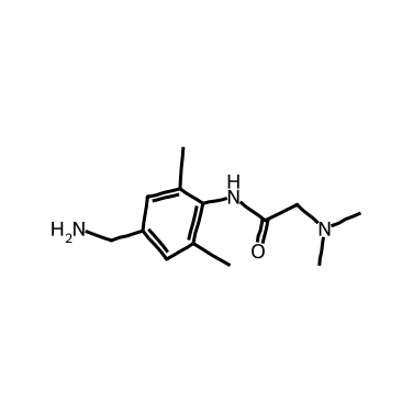 Cc1cc(CN)cc(C)c1NC(=O)CN(C)C